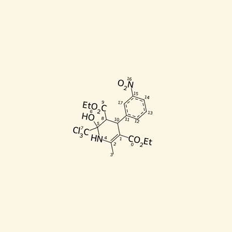 CCOC(=O)C1=C(C)NC(O)(C(Cl)(Cl)Cl)C(C(=O)OCC)C1c1cccc([N+](=O)[O-])c1